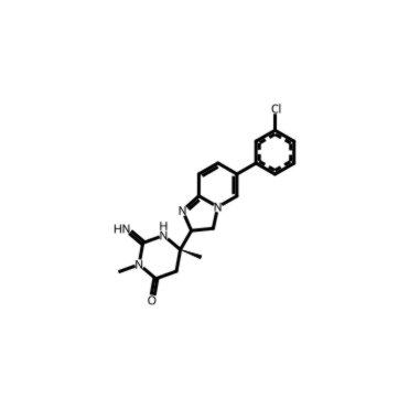 CN1C(=N)N[C@](C)(C2CN3C=C(c4cccc(Cl)c4)C=CC3=N2)CC1=O